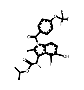 Cc1c([C@H](C)C(=O)OC(C)C)c2c(F)c(O)ccc2n1C(=O)c1ccc(OC(F)(F)F)cc1